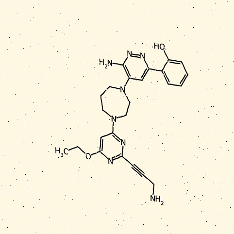 CCOc1cc(N2CCCN(c3cc(-c4ccccc4O)nnc3N)CC2)nc(C#CCN)n1